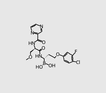 COC[C@@H](NC(=O)c1cnccn1)C(=O)N[C@H](CCOc1ccc(Cl)c(F)c1)B(O)O